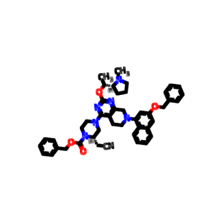 CC(Oc1nc2c(c(N3CCN(C(=O)OCc4ccccc4)[C@@H](CC#N)C3)n1)CCN(c1cc(OCc3ccccc3)cc3ccccc13)C2)[C@H]1CCCN1C